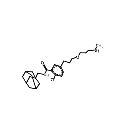 CNCCCOCCCc1ccc(Cl)c(C(=O)NCC23CC4CC(CC(C4)C2)C3)c1